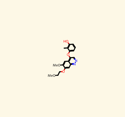 COCCOc1cc2nncc(Oc3cccc(O)c3C)c2cc1OC